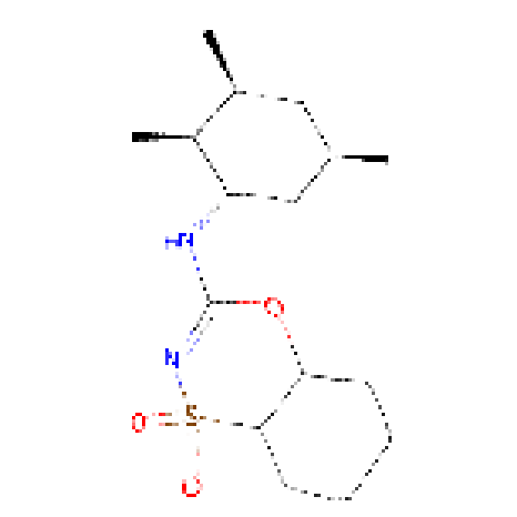 C[C@H]1C[C@H](NC2=NS(=O)(=O)C3CCCCC3O2)[C@@H](C)[C@@H](C)C1